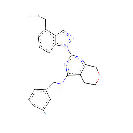 CC(=O)NCc1cccc2c1cnn2-c1nc2c(c(NCc3cccc(F)c3)n1)CCOC2